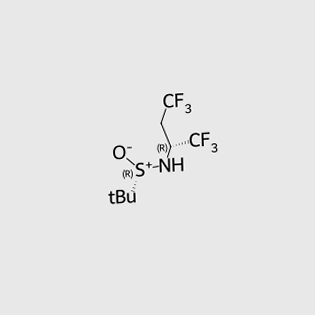 CC(C)(C)[S@+]([O-])N[C@H](CC(F)(F)F)C(F)(F)F